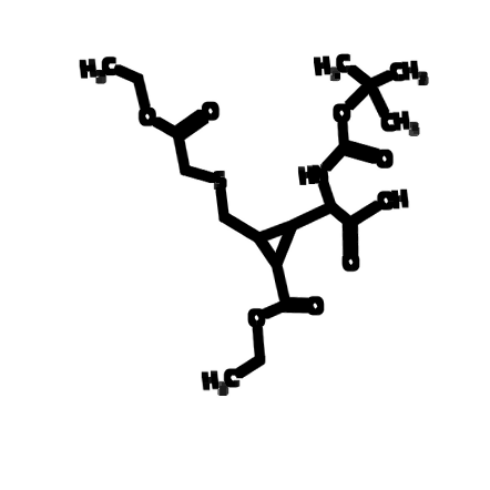 CCOC(=O)CSCC1C(C(=O)OCC)C1C(NC(=O)OC(C)(C)C)C(=O)O